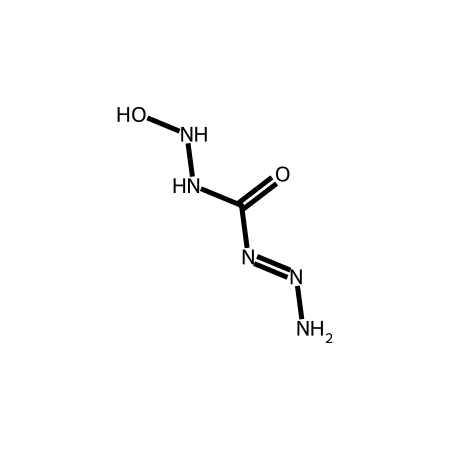 NN=NC(=O)NNO